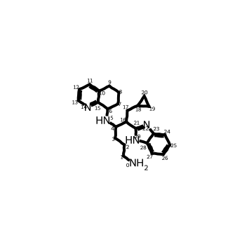 NCCCC(NC1CCCc2cccnc21)C(CC1CC1)c1nc2ccccc2[nH]1